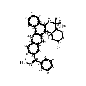 C[C@H]1CC[C@H]2[C@H](C1)c1c(c3ccccc3c3nc4ccc(/C(=N\O)c5ccccc5)cc4nc13)OC2(C)C